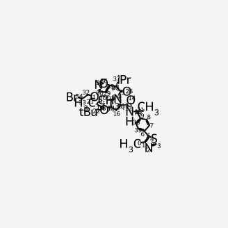 Cc1ncsc1-c1ccc([C@H](C)NC(=O)[C@H]2C[C@@H](O[Si](C)(C)C(C)(C)C)CN2C(=O)[C@@H](c2cc(OCCBr)no2)C(C)C)cc1